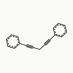 C(#Cc1ccccc1)CC#Cc1ccccc1